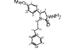 COc1ccc(C2CN(N)C(=O)N2CCCc2ccccc2)cc1